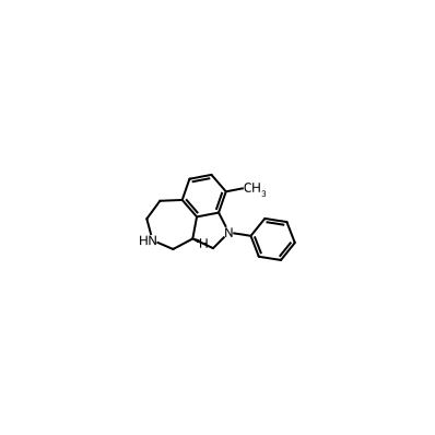 Cc1ccc2c3c1N(c1ccccc1)C[C@@H]3CNCC2